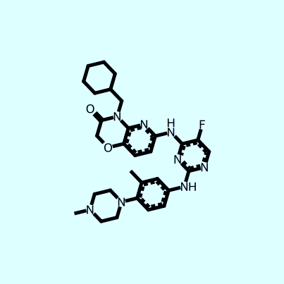 Cc1cc(Nc2ncc(F)c(Nc3ccc4c(n3)N(CC3CCCCC3)C(=O)CO4)n2)ccc1N1CCN(C)CC1